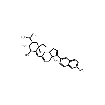 CN(C)[C@H]1C[C@@]23CC[C@@]4(O2)C(=CC[C@]2(C)C(c5ccc6cc(N)ncc6c5)=CCC24)C=C3[C@@H](O)[C@@H]1O